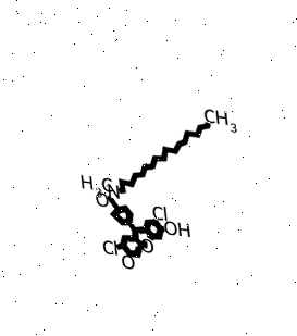 CCCCCCCCCCCCCCCCCCN(C)C(=O)c1ccc(-c2c3cc(Cl)c(=O)cc-3oc3cc(O)c(Cl)cc23)cc1